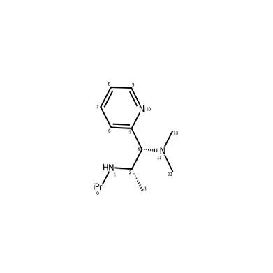 CC(C)N[C@@H](C)[C@H](c1ccccn1)N(C)C